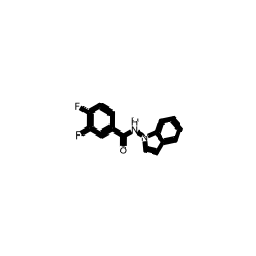 O=C(Nn1ccc2ccccc21)c1ccc(F)c(F)c1